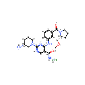 COC[C@H]1CCCN1C(=O)c1cccc(Nc2nc(N3CCC[C@H](N)C3)ncc2C(N)=O)c1.Cl